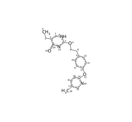 CCc1c[nH]c(OCCc2ccc(Oc3ccc(C)cn3)cc2)nc1=O